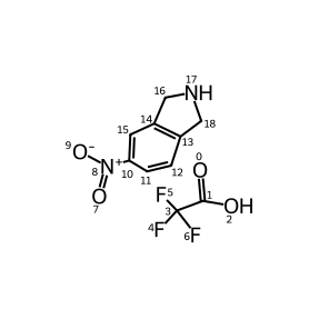 O=C(O)C(F)(F)F.O=[N+]([O-])c1ccc2c(c1)CNC2